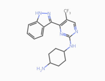 NC1CCC(Nc2ncc(C(F)(F)F)c(-c3n[nH]c4ccccc34)n2)CC1